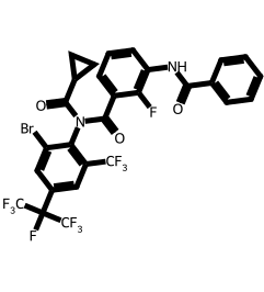 O=C(Nc1cccc(C(=O)N(C(=O)C2CC2)c2c(Br)cc(C(F)(C(F)(F)F)C(F)(F)F)cc2C(F)(F)F)c1F)c1ccccc1